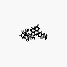 CN(c1ccc(SC(F)(F)F)cc1)c1c(C(=O)N[C@H](C(=O)O)C23CC4CC(CC(O)(C4)C2)C3)ccc2ccccc12